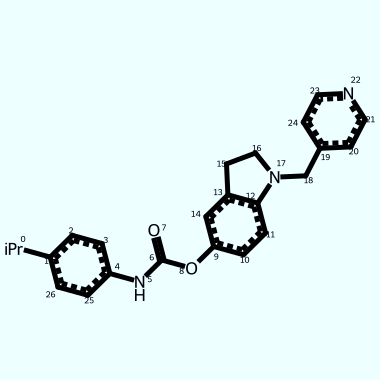 CC(C)c1ccc(NC(=O)Oc2ccc3c(c2)CCN3Cc2ccncc2)cc1